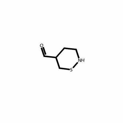 O=CC1CCNSC1